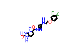 O=C1NC2CCC(C(=O)NC34CC(NCCOc5ccc(Cl)c(F)c5)(C3)C4)NC2N1